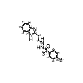 O=S(=O)(NNCCc1nc2ccccc2[nH]1)c1ccc(Br)cc1